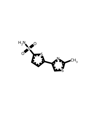 Cc1nc(-c2ccc(S(N)(=O)=O)s2)cs1